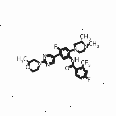 C[C@H]1CN(c2ncc(-c3cc(NC(=O)c4ccc(F)cc4C(F)(F)F)c(N4CCN(C)[C@@H](C)C4)cc3F)cn2)CCO1